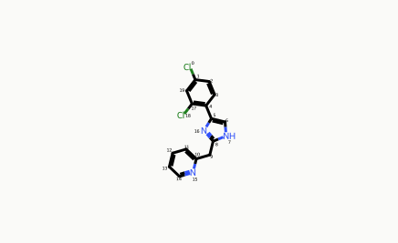 Clc1ccc(-c2c[nH]c(Cc3ccccn3)n2)c(Cl)c1